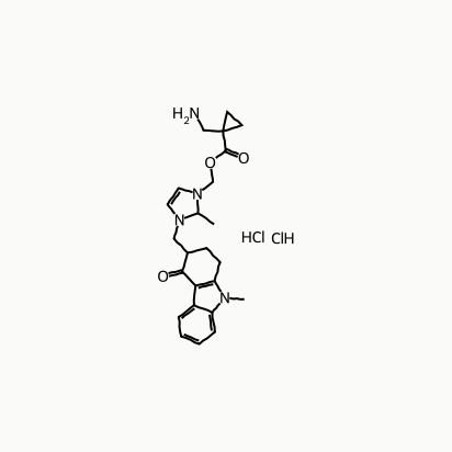 CC1N(COC(=O)C2(CN)CC2)C=CN1CC1CCc2c(c3ccccc3n2C)C1=O.Cl.Cl